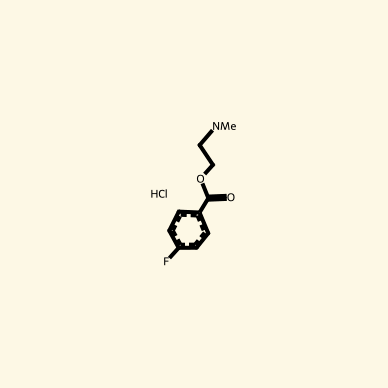 CNCCOC(=O)c1ccc(F)cc1.Cl